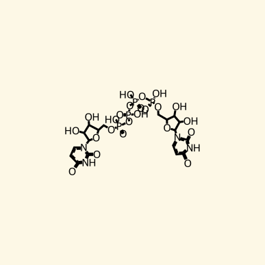 O=c1ccn(C2OC(COP(=O)(O)OP(=O)(O)OP(=O)(O)OP(=O)(O)OCC3OC(n4ccc(=O)[nH]c4=O)C(O)C3O)C(O)C2O)c(=O)[nH]1